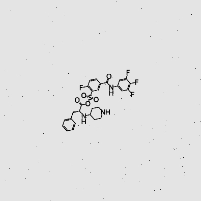 O=C(Nc1cc(F)c(F)c(F)c1)c1ccc(F)c(S(=O)(=O)OC(=O)[C@H](Cc2ccccc2)NC2CCNCC2)c1